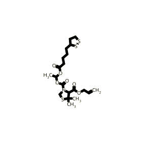 C=CCOC(=O)C1N(C(=O)OC(C)OC(=O)CCCCC2CCSS2)CSC1(C)C